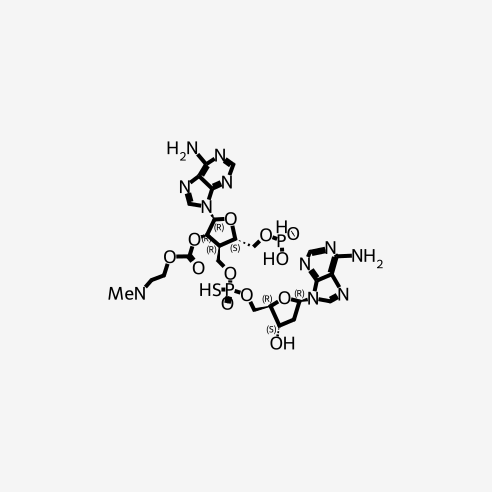 CNCCOC(=O)O[C@@H]1[C@H](COP(=O)(S)OC[C@H]2O[C@@H](n3cnc4c(N)ncnc43)C[C@@H]2O)[C@@H](CO[PH](=O)O)O[C@H]1n1cnc2c(N)ncnc21